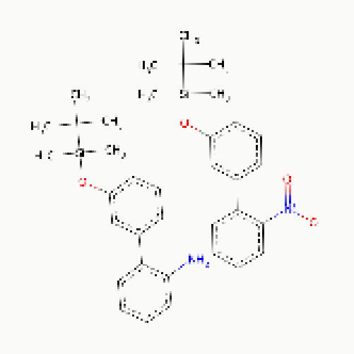 CC(C)(C)[Si](C)(C)Oc1cccc(-c2ccccc2N)c1.CC(C)(C)[Si](C)(C)Oc1cccc(-c2ccccc2[N+](=O)[O-])c1